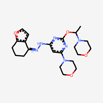 CC(Oc1nc(N/N=C2/CCCc3occc32)cc(N2CCOCC2)n1)N1CCOCC1